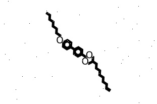 C=CCCCCCCCC1COC(c2ccc(-c3ccc(OCCCCCCCC)cc3)cc2)OC1